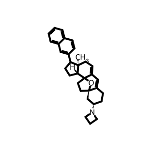 C[C@]12CC=C3C=C4CC[C@H](N5CCC5)C[C@]45CCC3(O5)[C@@H]1CCC2c1ccc2ccccc2c1